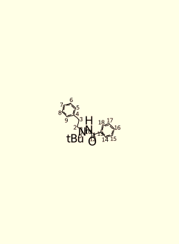 CC(C)(C)N(CCc1ccccc1)NC(=O)c1ccccc1